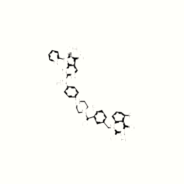 Cn1c(=O)c2cnc(Nc3ccc(N4CCN(C(=O)c5cc(Cn6c(=O)[nH]c(=O)c7c(F)cccc76)ccc5F)CC4)cc3)nc2n1-c1ccccn1